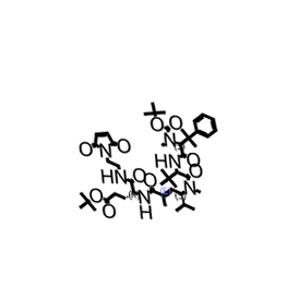 C/C(=C\[C@H](C(C)C)N(C)C(=O)C(NC(=O)[C@@H](N(C)C(=O)OC(C)(C)C)C(C)(C)c1ccccc1)C(C)(C)C)C(=O)N[C@H](CCC(=O)OC(C)(C)C)C(=O)NCCN1C(=O)C=CC1=O